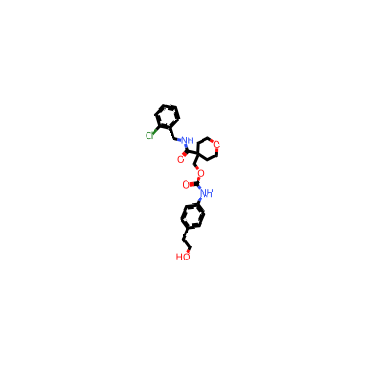 O=C(Nc1ccc(CCO)cc1)OCC1(C(=O)NCc2ccccc2Cl)CCOCC1